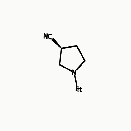 CCN1CC[C@H](C#N)C1